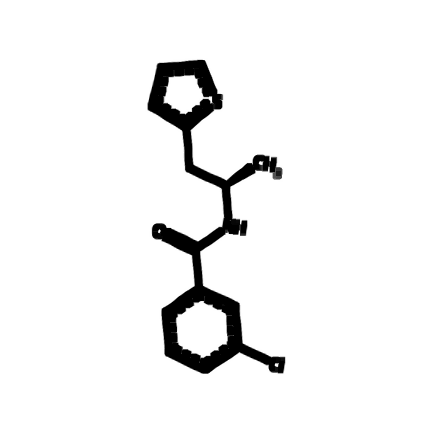 C[C@H](Cc1cccs1)NC(=O)c1cccc(Cl)c1